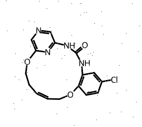 O=C1Nc2cncc(n2)OCCC=CCOc2ccc(Cl)cc2N1